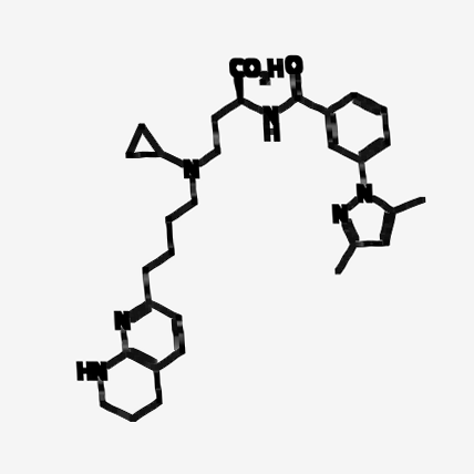 Cc1cc(C)n(-c2cccc(C(=O)N[C@@H](CCN(CCCCc3ccc4c(n3)NCCC4)C3CC3)C(=O)O)c2)n1